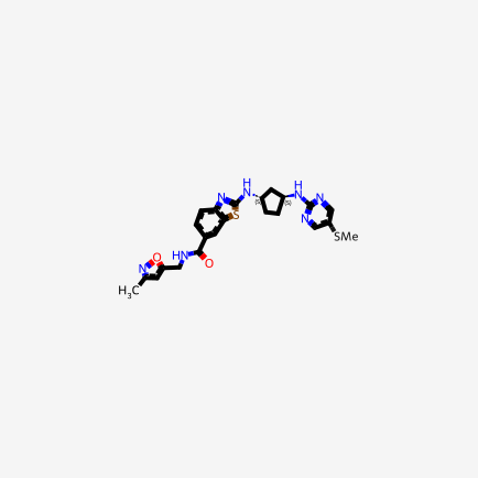 CSc1cnc(N[C@H]2CC[C@H](Nc3nc4ccc(C(=O)NCc5cc(C)no5)cc4s3)C2)nc1